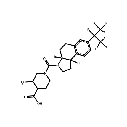 CC1CN(C(=O)N2CC[C@H]3c4ccc(C(F)(C(F)(F)F)C(F)(F)F)cc4CC[C@H]32)CCC1C(=O)O